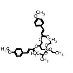 CCO[Si](CC(COC(=O)C=Cc1ccc(OC)cc1)OC(=O)C=Cc1ccc(OC)cc1)(OCC)OC(C)C